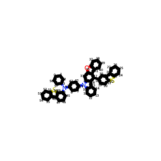 c1ccc(N(c2ccc(-n3c4ccccc4c4c(-c5ccc6sc7ccccc7c6c5)c5c(cc43)oc3ccccc35)cc2)c2cccc3c2sc2ccccc23)cc1